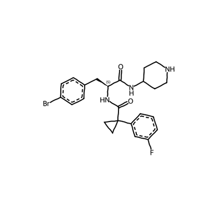 O=C(NC1CCNCC1)[C@H](Cc1ccc(Br)cc1)NC(=O)C1(c2cccc(F)c2)CC1